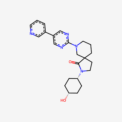 O=C1N([C@H]2CC[C@@H](O)CC2)CCC12CCCN(c1ncc(-c3cccnc3)cn1)C2